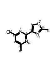 Cc1cc(Cl)nc(-c2coc(C)n2)n1